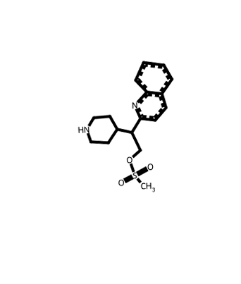 CS(=O)(=O)OCC(c1ccc2ccccc2n1)C1CCNCC1